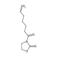 C=CCCCCC(=O)N1CCOC1=O